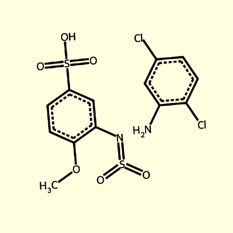 COc1ccc(S(=O)(=O)O)cc1N=S(=O)=O.Nc1cc(Cl)ccc1Cl